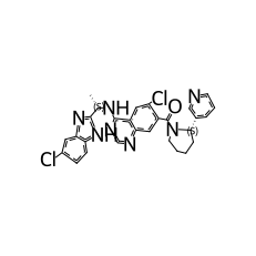 C[C@H](Nc1ncnc2cc(C(=O)N3CCCC[C@H]3c3cccnc3)c(Cl)cc12)c1nc2cc(Cl)ccc2[nH]1